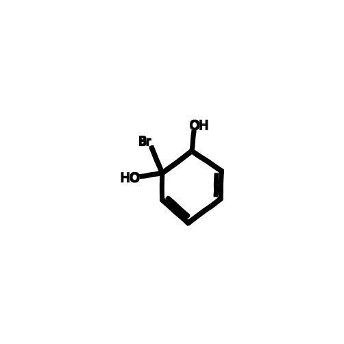 OC1C=CC=CC1(O)Br